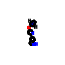 CN1[C@@H]2CC[C@H]1C[C@@H](Oc1ccc(-c3ccc4[nH]ccc4c3)nc1)C2